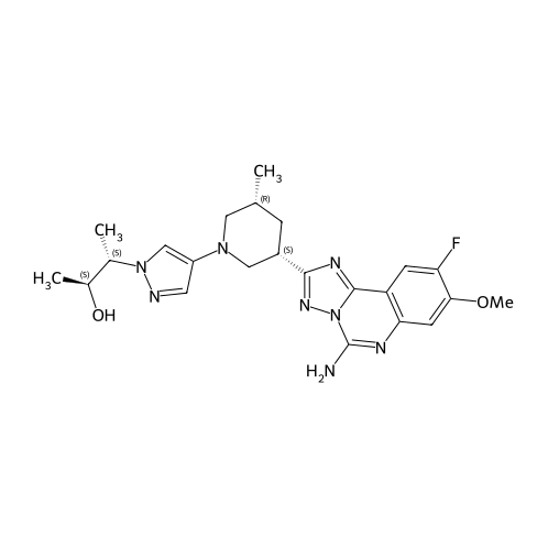 COc1cc2nc(N)n3nc([C@H]4C[C@@H](C)CN(c5cnn([C@@H](C)[C@H](C)O)c5)C4)nc3c2cc1F